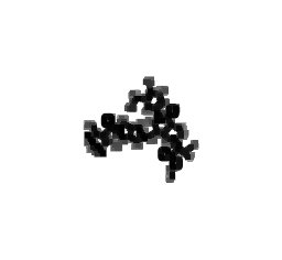 CCOC(=O)C(=C(C)C)N1CCC(C(=O)N(CCCN2CC3CN(C(=O)c4c(C)ncnc4C)CC3C2)c2ccc(C)c(CI)c2)CC1